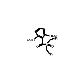 COc1cccc(OC)c1C(=O)P(=O)(CC(C)C)CC(C)C